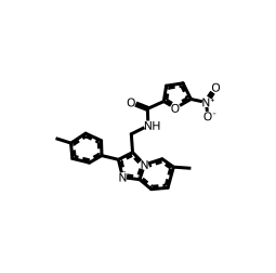 Cc1ccc(-c2nc3ccc(C)cn3c2CNC(=O)c2ccc([N+](=O)[O-])o2)cc1